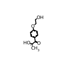 C[C@H](O)C(=O)c1ccc(OCCO)cc1